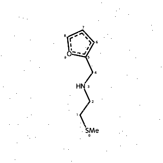 CSCCNCc1ccco1